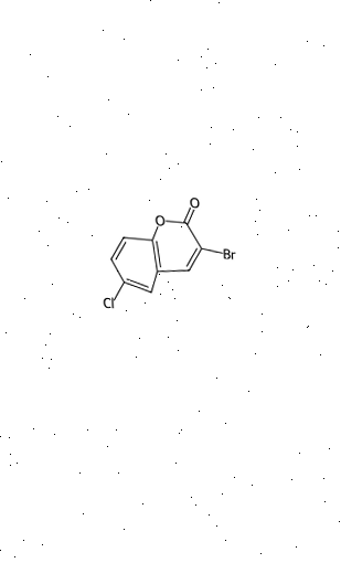 O=c1oc2ccc(Cl)cc2cc1Br